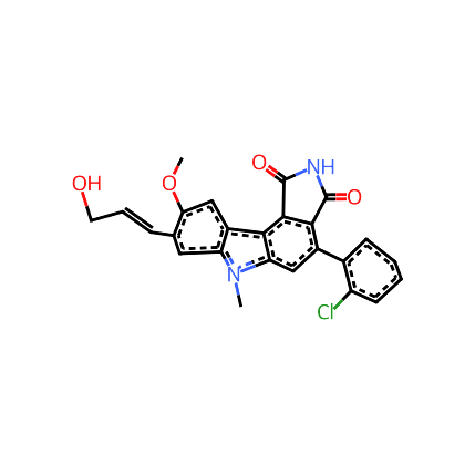 COc1cc2c3c4c(c(-c5ccccc5Cl)cc3n(C)c2cc1C=CCO)C(=O)NC4=O